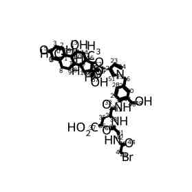 C[C@]12C=CC(=O)C=C1CC[C@@H]1[C@@H]2[C@@H](O)C[C@@]2(C)[C@H]1C[C@H]1O[C@@H](c3ccn(Cc4ccc(NC(=O)[C@H](CCC(=O)O)NC(=O)CNC(=O)CBr)c(CO)c4)c3)O[C@]12C(=O)CO